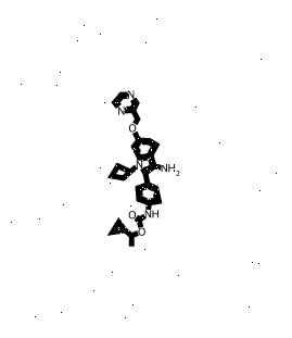 CC(OC(=O)Nc1ccc(-c2c(N)c3ccc(OCc4cnccn4)cc3n2C2CCC2)cc1)C1CC1